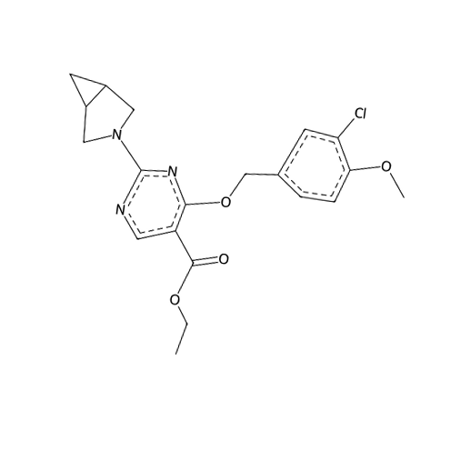 CCOC(=O)c1cnc(N2CC3CC3C2)nc1OCc1ccc(OC)c(Cl)c1